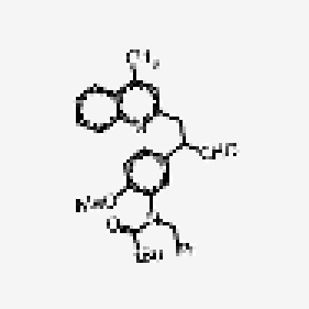 COc1ccc(C(C=O)Cc2cc(C)c3ccccc3n2)cc1N(CC(C)C)C(=O)C(C)(C)C